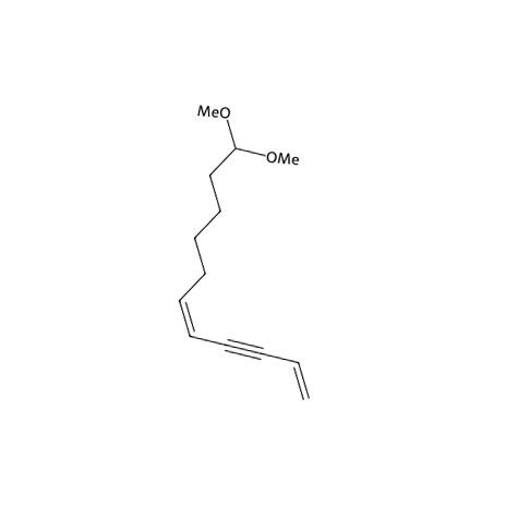 C=CC#C/C=C\CCCCC(OC)OC